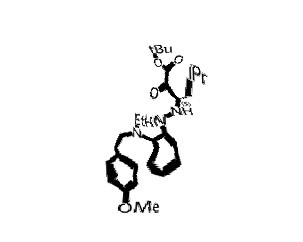 CCN(Cc1ccc(OC)cc1)c1ccccc1NN[C@@H](CC(C)C)C(=O)C(=O)OC(C)(C)C